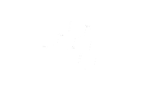 CC(O)CN1c2ccccc2CC(N)C1C=O